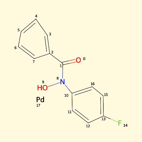 O=C(c1ccccc1)N(O)c1ccc(F)cc1.[Pd]